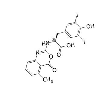 Cc1cccc2nc(N[C@@H](Cc3cc(I)c(O)c(I)c3)C(=O)O)oc(=O)c12